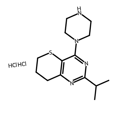 CC(C)c1nc2c(c(N3CCNCC3)n1)SCCC2.Cl.Cl